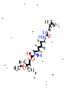 CCOC(C)(C)CCOC(=O)NCCCCCCNC(=O)NCCC(C)C